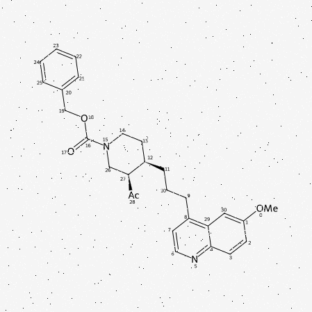 COc1ccc2nccc(CCC[C@@H]3CCN(C(=O)OCc4ccccc4)C[C@@H]3C(C)=O)c2c1